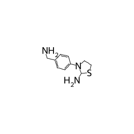 NCc1ccc(N2CCSC2N)cc1